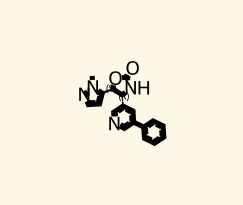 Cn1nccc1[C@H]1OC(=O)N[C@@H]1c1cncc(-c2ccccc2)c1